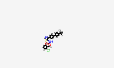 C[C@@H](OC(=O)Nc1scnc1-c1ccc(-c2ccc(C3(C)CC3)cc2)cc1)c1ccccc1Cl